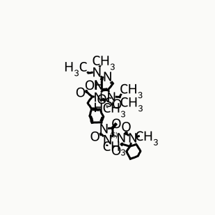 CCN(CC)c1ncc(N(C(C)C)S(C)(=O)=O)c(NC(Cc2ccc(N3C(=O)[C@H](N4C(=O)N(C)C5(CCCCC5)C4=O)N(C)C3=O)cc2)C(=O)O)n1